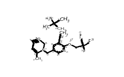 CC(C)(C)N.CC1=CC=NCN1Cc1cnc(OCC(F)(F)F)c(C)c1